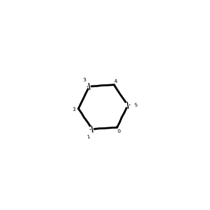 C1[I]C[I]C[I]1